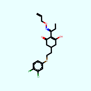 C=CCON=C(CC)C1=C(O)CC(CCSc2ccc(F)c(Cl)c2)CC1=O